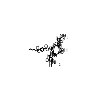 CCCCCC(=O)Oc1ccc(C(=O)OCSP2(=O)OC[C@H]3O[C@@H](n4cnc5c(N)ncnc54)[C@H](F)[C@@H]3OCP(=O)(O)OCC3O[C@@H](n4cnc5c(=O)[nH]c(N)nc54)[C@H](O2)[C@@H]3F)cc1